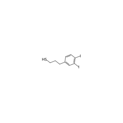 SCCCc1ccc(I)c(I)c1